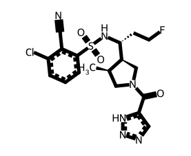 C[C@@H]1CN(C(=O)c2cnn[nH]2)C[C@@H]1[C@@H](CCF)NS(=O)(=O)c1cccc(Cl)c1C#N